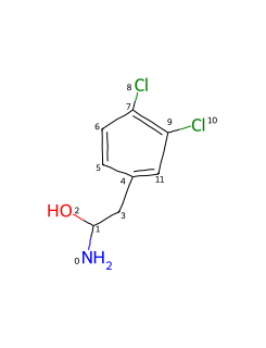 NC(O)Cc1ccc(Cl)c(Cl)c1